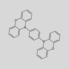 c1ccc2c(c1)Oc1ccccc1N2c1ccc(N2c3ccccc3Oc3ccccc32)cc1